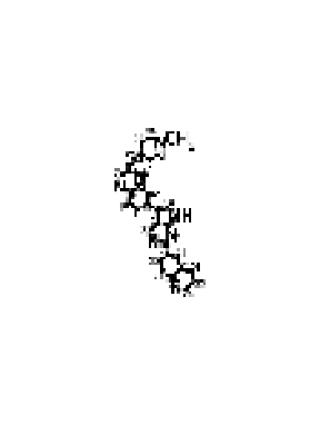 CN1CCC(Oc2cnc3ccc(-c4c[nH]c5nc(-c6ccc7ncccc7c6)ncc45)cc3n2)CC1